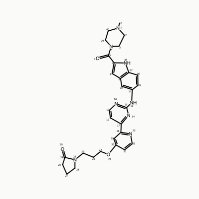 CN1CCN(C(=O)c2cc3cc(Nc4nccc(-c5cc(OCCCN6CCCC6=O)ccn5)n4)ccc3[nH]2)CC1